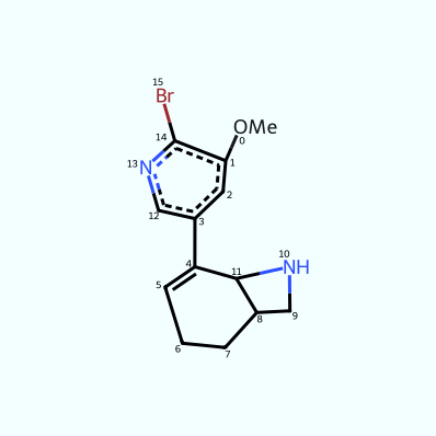 COc1cc(C2=CCCC3CNC23)cnc1Br